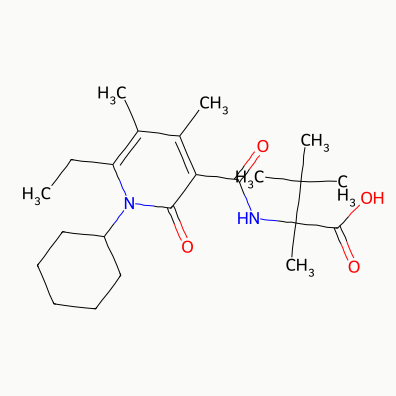 CCc1c(C)c(C)c(C(=O)NC(C)(C(=O)O)C(C)(C)C)c(=O)n1C1CCCCC1